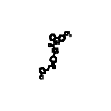 O=C(Nc1ccccc1-c1cccc(C(F)(F)F)c1)c1csc(C2CCN(C(=O)CCc3cccc(Cl)c3)CC2)n1